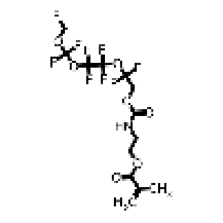 C=C(C)C(=O)OCCNC(=O)OCC(F)(F)OC(F)(F)C(F)(F)OC(F)(F)OCF